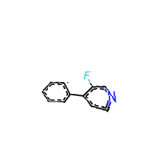 Fc1cnccc1-c1[c]cccc1